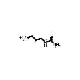 NC(=O)NCCC[SiH2]